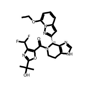 CCOc1cccc2cc([C@@H]3c4nc[nH]c4CCN3C(=O)c3oc(C(C)(C)O)nc3C(F)F)nn12